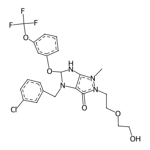 Cn1c2c(c(=O)n1CCOCCO)N(Cc1cccc(Cl)c1)C(Oc1cccc(OC(F)(F)F)c1)N2